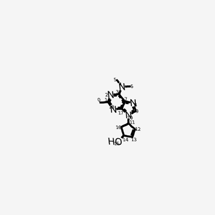 Cc1nc(N(C)C)c2ncn(C3C=CC(O)C3)c2n1